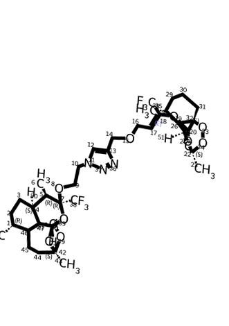 C[C@@H]1CC[C@H]2[C@@H](C)[C@](OCCn3cc(COC/C=C(/O[C@@H]4O[C@]5(C)CCC6[C@H](C)CCC[C@]64OO5)C(F)(F)F)nn3)(C(F)(F)F)O[C@@H]3O[C@]4(C)CCC1[C@]32OO4